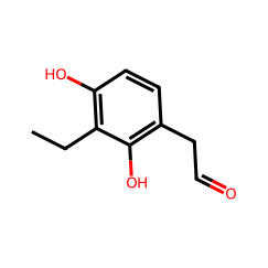 CCc1c(O)ccc(CC=O)c1O